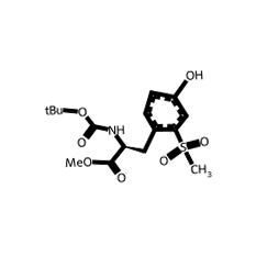 COC(=O)[C@H](Cc1ccc(O)cc1S(C)(=O)=O)NC(=O)OC(C)(C)C